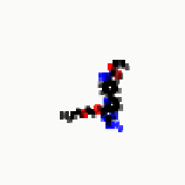 CCOCCOc1nc(N)nc2ccc(-c3ccc(NC(=O)OC)cc3)nc12